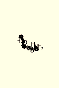 Nc1ccccc1NC(=O)c1ccc(N2CCC(OC(=O)NCc3ccccn3)C2)cc1